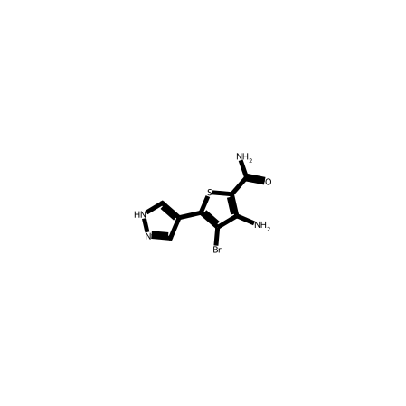 NC(=O)c1sc(-c2cn[nH]c2)c(Br)c1N